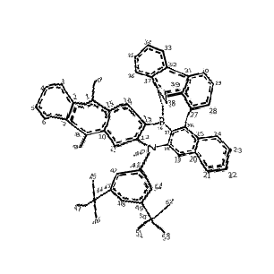 Cc1c2ccccc2c(C)c2cc3c(cc12)B1c2c(cc4ccccc4c2-c2cccc4c5ccccc5n1c24)N3c1cc(C(C)(C)C)cc(C(C)(C)C)c1